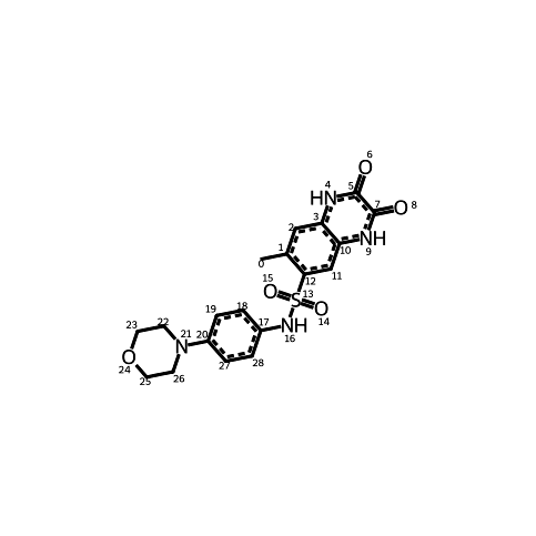 Cc1cc2[nH]c(=O)c(=O)[nH]c2cc1S(=O)(=O)Nc1ccc(N2CCOCC2)cc1